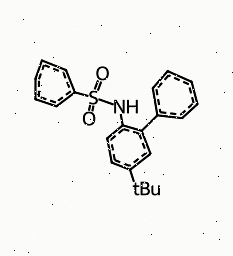 CC(C)(C)c1ccc(NS(=O)(=O)c2ccccc2)c(-c2ccccc2)c1